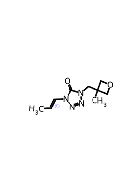 C/C=C/n1nnn(CC2(C)COC2)c1=O